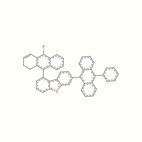 Fc1c2c(c(-c3cccc4sc5cc(-c6c7ccccc7c(-c7ccccc7)c7ccccc67)ccc5c34)c3ccccc13)CCC=C2